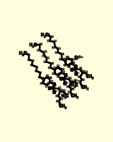 CCCCCCCCCc1ccc(OP(=O)([O-])CC(CC)CCCC)cc1.CCCCCCCCCc1ccc(OP(=O)([O-])CC(CC)CCCC)cc1.CCCCCCCCCc1ccc(OP(=O)([O-])CC(CC)CCCC)cc1.[Cr+3]